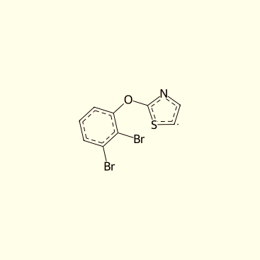 Brc1cccc(Oc2nc[c]s2)c1Br